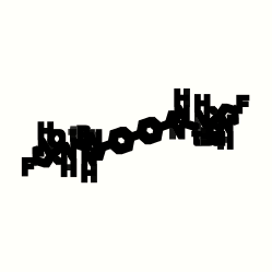 CC(C)(C)[C@H](NC(=O)[C@]1(C)CC(F)CN1)c1nc(-c2ccc(-c3ccc(-c4c[nH]c([C@@H](NC(=O)[C@]5(C)C[C@@H](F)CN5)C(C)(C)C)n4)cc3)cc2)c[nH]1